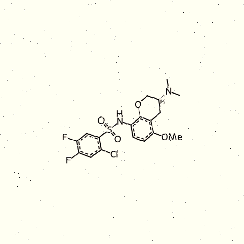 COc1ccc(NS(=O)(=O)c2cc(F)c(F)cc2Cl)c2c1C[C@@H](N(C)C)CO2